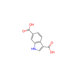 O=C(O)c1ccc2c(C(=O)O)c[nH]c2c1